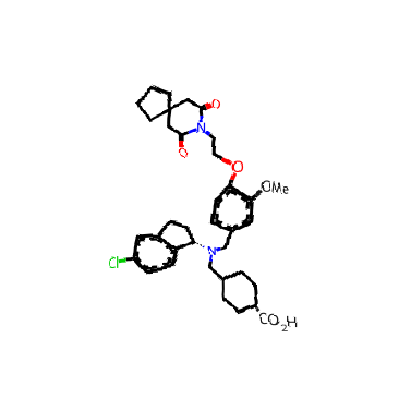 COc1cc(CN(CC2CCC(C(=O)O)CC2)[C@H]2CCc3cc(Cl)ccc32)ccc1OCCN1C(=O)CC2(CCCC2)CC1=O